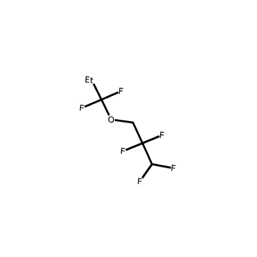 CCC(F)(F)OCC(F)(F)C(F)F